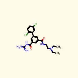 CCN(CC)CCNC(=O)c1cc(C(=O)NC(=N)N)cc(-c2cc(Cl)ccc2Cl)c1